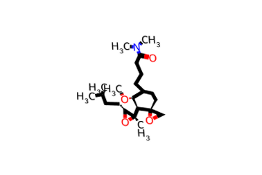 CO[C@@H]1C(CCCC(=O)N(C)C)CC[C@]2(CO2)[C@H]1[C@]1(C)O[C@@H]1CCC(C)C